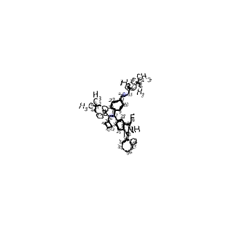 CC1(C)COB(/C(=C(\c2ccc(/C=C/C(=O)OC(C)(C)C)cc2)c2ccc3c(c2)C(F)NN3C2CCCCO2)C2CCC2)OC1